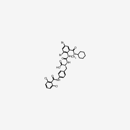 CN(C(=O)c1cc(Br)cc(Br)c1NC(=O)N[C@@H](Cc1ccc(NC(=O)c2c(Cl)cccc2Cl)cc1)C(=O)O)C1CCCCC1